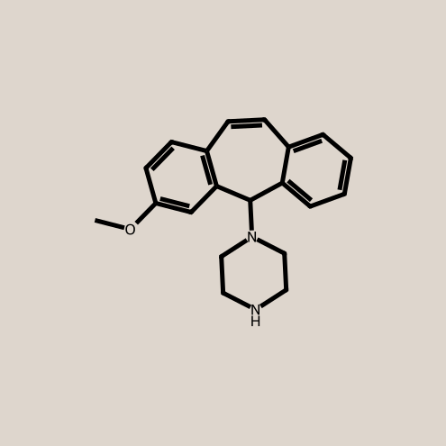 COc1ccc2c(c1)C(N1CCNCC1)c1ccccc1C=C2